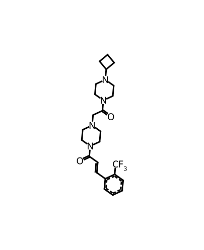 O=C(C=Cc1ccccc1C(F)(F)F)N1CCN(CC(=O)N2CCN(C3CCC3)CC2)CC1